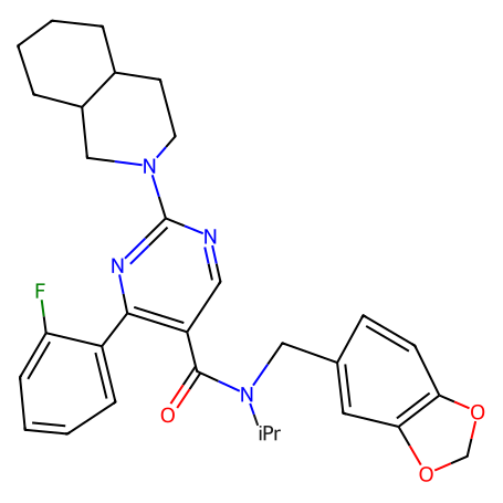 CC(C)N(Cc1ccc2c(c1)OCO2)C(=O)c1cnc(N2CCC3CCCCC3C2)nc1-c1ccccc1F